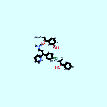 CN(C)CCC(c1ccc(Cl)cc1)c1ccccn1.CNC[C@H](O)c1cccc(O)c1.CN[C@@H](C)[C@@H](O)c1ccccc1